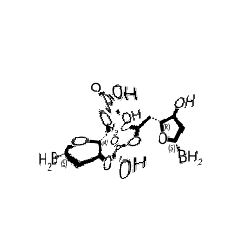 B[C@H]1CC(O)[C@@H](CC(C)OP(=O)(O)OC2C[C@H](B)O[C@@H]2COP(=O)(O)O)O1